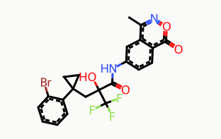 Cc1noc(=O)c2ccc(NC(=O)C(O)(CC3(c4ccccc4Br)CC3)C(F)(F)F)cc12